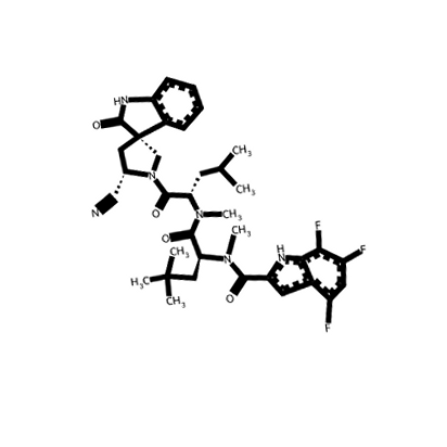 CC(C)C[C@@H](C(=O)N1C[C@]2(C[C@H]1C#N)C(=O)Nc1ccccc12)N(C)C(=O)[C@H](CC(C)(C)C)N(C)C(=O)c1cc2c(F)cc(F)c(F)c2[nH]1